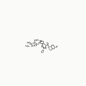 OC[C@H]1O[C@@H](n2ncc3c(N[C@@H]4CCc5cc(F)ccc54)nc(Cl)nc32)[C@H](O)[C@@H]1O